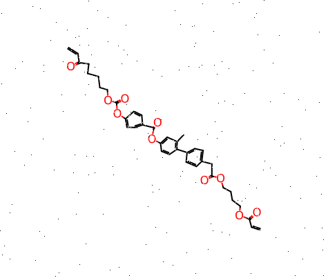 C=CC(=O)CCCCCOC(=O)Oc1ccc(C(=O)Oc2ccc(-c3ccc(CC(=O)OCCCCOC(=O)C=C)cc3)c(C)c2)cc1